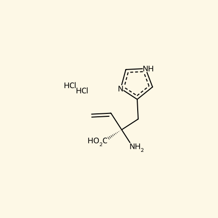 C=C[C@](N)(Cc1c[nH]cn1)C(=O)O.Cl.Cl